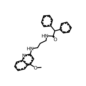 COc1cc(NCCCNC(=O)C(c2ccccc2)c2ccccc2)nc2ccccc12